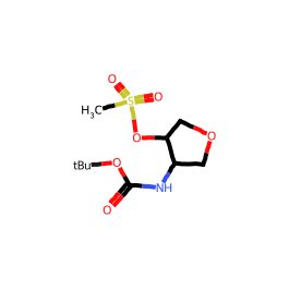 CC(C)(C)OC(=O)NC1COCC1OS(C)(=O)=O